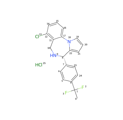 CC(F)(F)c1ccc([C@@H]2NCc3c(Cl)cccc3-n3cccc32)cc1.Cl